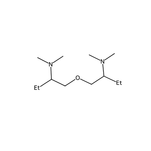 CCC(COCC(CC)N(C)C)N(C)C